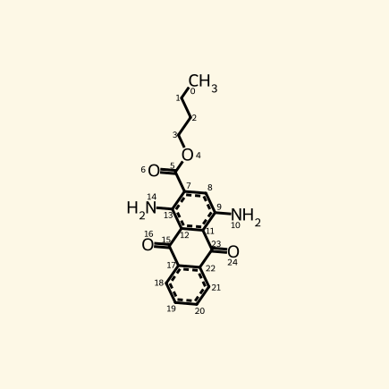 CCCCOC(=O)c1cc(N)c2c(c1N)C(=O)c1ccccc1C2=O